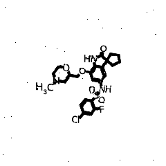 CN1CCOC(COc2cc(NS(=O)(=O)c3ccc(Cl)cc3F)cc3c2NC(=O)C32CCCC2)C1